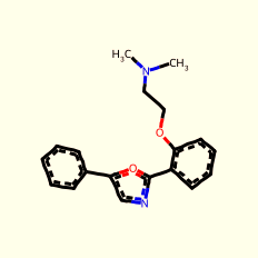 CN(C)CCOc1ccccc1-c1ncc(-c2ccccc2)o1